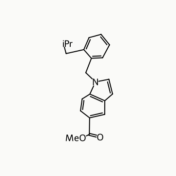 COC(=O)c1ccc2c(ccn2Cc2ccccc2CC(C)C)c1